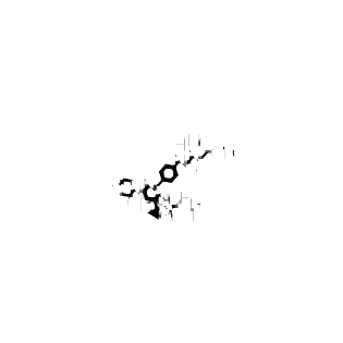 CC(C)CNC(=O)Nc1ccc(-c2nc(N3CCOC[C@@H]3C)cc(C3(S(=O)(=O)C(C)(C)C)CC3)n2)cc1